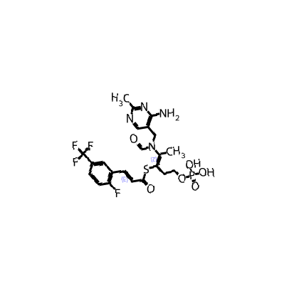 C/C(=C(\CCOP(=O)(O)O)SC(=O)/C=C/c1cc(C(F)(F)F)ccc1F)N(C=O)Cc1cnc(C)nc1N